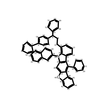 c1ccc(-c2ccc(C(CCc3cccc4c5c(-c6ccccc6)c6c(cc5n(-c5ccc7ccccc7c5)c34)oc3ccccc36)c3ccccc3)cc2)cc1